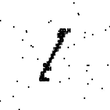 COCCOCCNC(=O)CCCCCCCCCCCCCCOc1ccc(C(=O)O)cc1